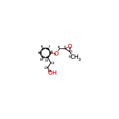 CC1OC1COc1ccccc1CCO